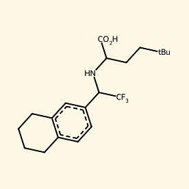 CC(C)(C)CCC(NC(c1ccc2c(c1)CCCC2)C(F)(F)F)C(=O)O